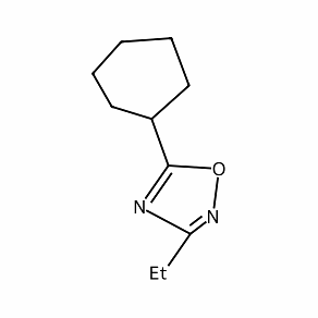 CCc1noc(C2CCCCC2)n1